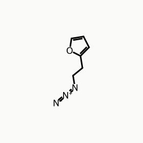 [N-]=[N+]=NCCc1ccco1